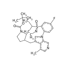 CN=S(=O)(c1cc(F)ccc1-n1cc(CC2CCN(C(=O)OC(C)(C)C)C2)c2c(C)cncc21)C(C)C